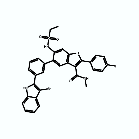 CCS(=O)(=O)Nc1cc2oc(-c3ccc(F)cc3)c(C(=O)NC)c2cc1-c1cccc(-c2[nH]c3ccccc3c2Br)c1